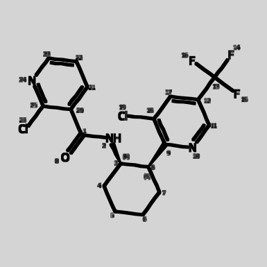 O=C(N[C@@H]1CCCC[C@@H]1c1ncc(C(F)(F)F)cc1Cl)c1cccnc1Cl